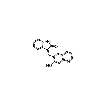 O=C1Nc2ccccc2/C1=C/c1cc2cccnc2cc1O